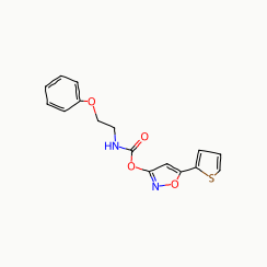 O=C(NCCOc1ccccc1)Oc1cc(-c2cccs2)on1